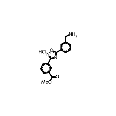 COC(=O)c1cccc(-c2noc(-c3cccc(CN)c3)n2)c1.Cl